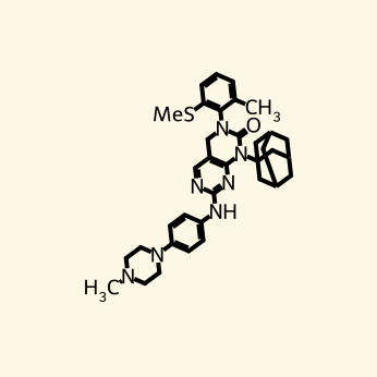 CSc1cccc(C)c1N1Cc2cnc(Nc3ccc(N4CCN(C)CC4)cc3)nc2N(C23CC4CC(CC(C4)C2)C3)C1=O